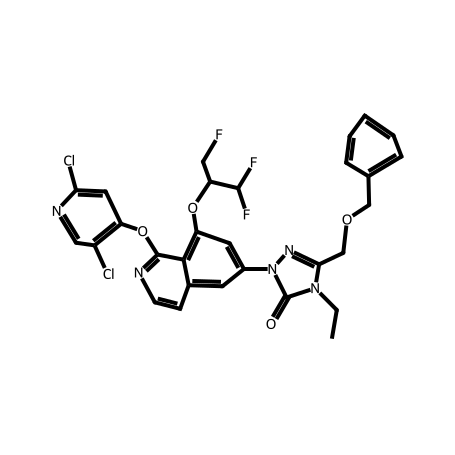 CCn1c(COCc2ccccc2)nn(-c2cc(OC(CF)C(F)F)c3c(Oc4cc(Cl)ncc4Cl)nccc3c2)c1=O